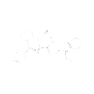 C#CCN(N=C(c1ccccc1)c1ccccc1)C(=O)N[C@H](Cc1ccccc1)C(=O)NC(C)C